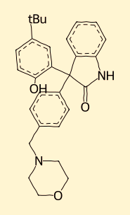 CC(C)(C)c1ccc(O)c(C2(c3ccc(CN4CCOCC4)cc3)C(=O)Nc3ccccc32)c1